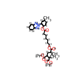 Cc1ccc(OC(=O)CCCCCCOC(=O)C(C)CC(C(=O)OC(C)C)C(C)C(=O)OC(C)C)c(-n2nc3ccccc3n2)c1